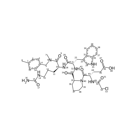 Cc1ccc(CN(C)C(=O)[C@H](CCCNC(N)=O)NC(=O)[C@H](Cc2c[nH]c3ccccc23)NC(=O)[C@@H]2CCCCN2C(=O)[C@H](CCC(=O)O)NC(=O)CCl)cc1